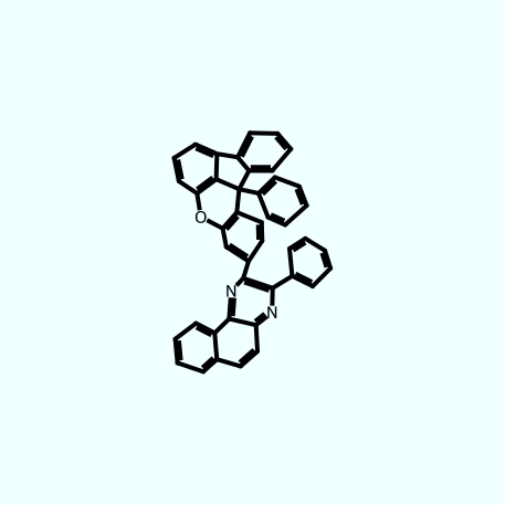 c1ccc(-c2nc3ccc4ccccc4c3nc2-c2ccc3c(c2)Oc2cccc4c2C3(c2ccccc2)c2ccccc2-4)cc1